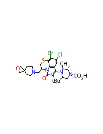 CC1CN(C(=O)O)CC(C(C)(C)C)N1c1nc(=O)n2c3c(c(Br)c(Cl)cc13)SC[C@@H]2CN1CCC2(CC1)COC2